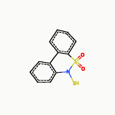 O=S1(=O)c2ccccc2-c2ccccc2N1S